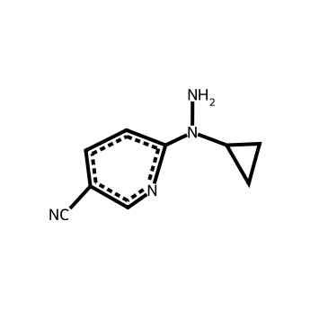 N#Cc1ccc(N(N)C2CC2)nc1